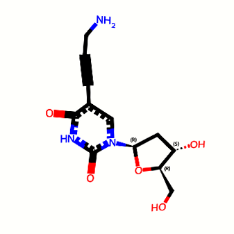 NCC#Cc1cn([C@H]2C[C@H](O)[C@@H](CO)O2)c(=O)[nH]c1=O